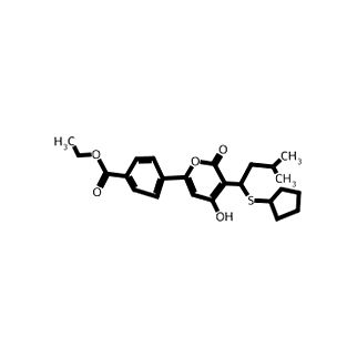 CCOC(=O)c1ccc(-c2cc(O)c(C(CC(C)C)SC3CCCC3)c(=O)o2)cc1